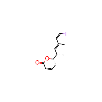 CC(/C=C\I)=C\[C@H](C)[C@@H]1CC=CC(=O)O1